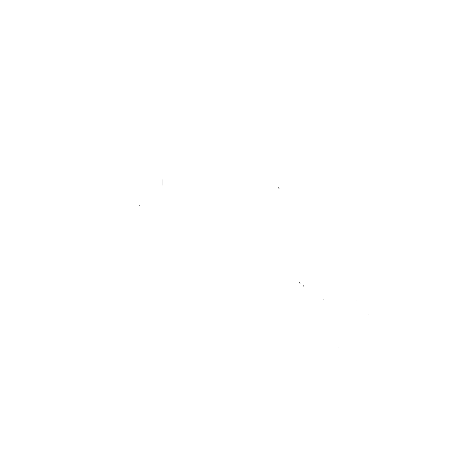 CC1=C(c2ccc3c(c2C)C(C)(C)c2ccccc2-3)B2c3ccccc3N(C34CC5CC(CC(C5)C3)C4)c3cccc(c32)N1c1ccccc1